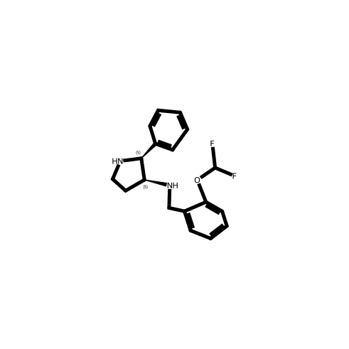 FC(F)Oc1ccccc1CN[C@H]1CCN[C@H]1c1ccccc1